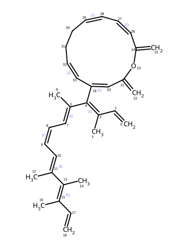 C=C/C(C)=C(C(/C)=C/C=C\C=C(C)\C(C)=C(/C)C=C)\C1=C\C(=C)OC(=C)/C=C\C=C/CC\C=C/1